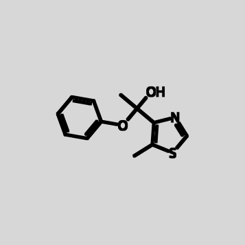 Cc1scnc1C(C)(O)Oc1ccccc1